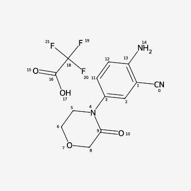 N#Cc1cc(N2CCOCC2=O)ccc1N.O=C(O)C(F)(F)F